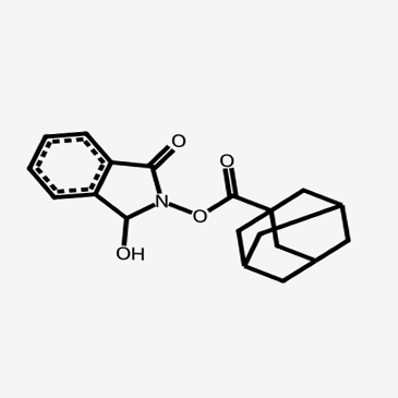 O=C1c2ccccc2C(O)N1OC(=O)C12CC3CC(CC(C3)C1)C2